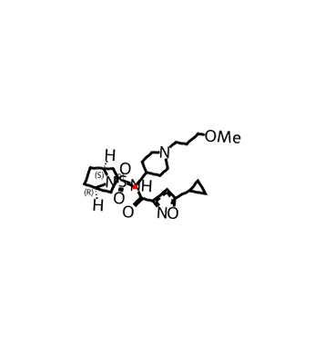 COCCCN1CCC(CS(=O)(=O)N2[C@@H]3CC[C@H]2C[C@@H](NC(=O)c2cc(C4CC4)on2)C3)CC1